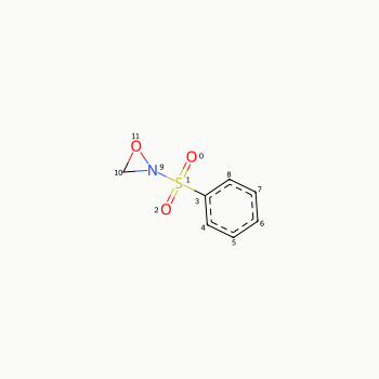 O=S(=O)(c1ccccc1)N1CO1